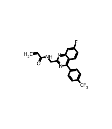 C=CC(=O)NCc1nc(-c2ccc(C(F)(F)F)cc2)c2ccc(F)cc2n1